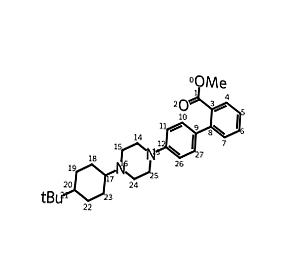 COC(=O)c1ccccc1-c1ccc(N2CCN(C3CCC(C(C)(C)C)CC3)CC2)cc1